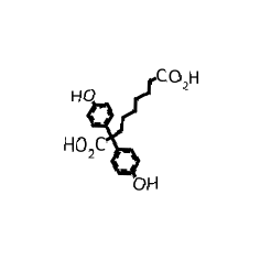 O=C(O)CCCCCCC(C(=O)O)(c1ccc(O)cc1)c1ccc(O)cc1